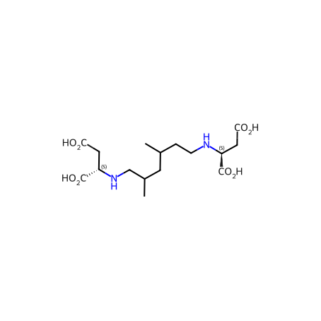 CC(CCN[C@@H](CC(=O)O)C(=O)O)CC(C)CN[C@@H](CC(=O)O)C(=O)O